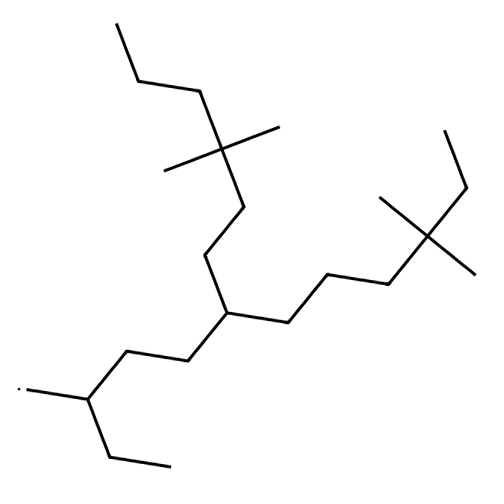 [CH2]C(CC)CCC(CCCC(C)(C)CC)CCC(C)(C)CCC